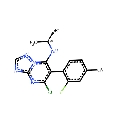 CC(C)[C@@H](Nc1c(-c2ccc(C#N)cc2F)c(Cl)nc2ncnn12)C(F)(F)F